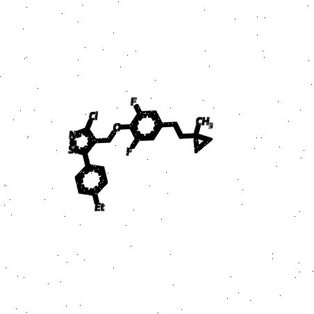 CCc1ccc(-c2snc(Cl)c2COc2c(F)cc(CCC3(C)CC3)cc2F)cc1